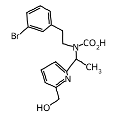 CC(c1cccc(CO)n1)N(CCc1cccc(Br)c1)C(=O)O